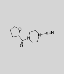 N#CN1CCN(C(=O)C2CCCO2)CC1